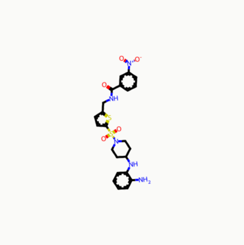 Nc1ccccc1NC1CCN(S(=O)(=O)c2ccc(CNC(=O)c3cccc([N+](=O)[O-])c3)s2)CC1